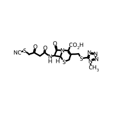 Cn1nnnc1SCC1=C(C(=O)O)N2C(=O)C(NC(=O)CC(=O)CSC#N)[C@@H]2SC1